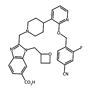 N#Cc1ccc(COc2ncccc2C2CCN(Cc3nc4ccc(C(=O)O)cc4n3CC3CCO3)CC2)c(F)c1